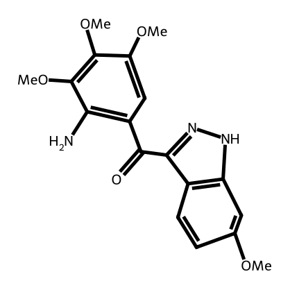 COc1ccc2c(C(=O)c3cc(OC)c(OC)c(OC)c3N)n[nH]c2c1